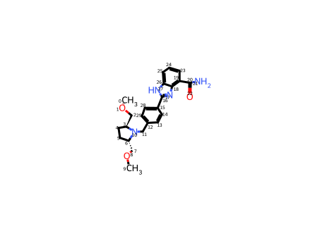 COC[C@@H]1CC[C@@H](COC)N1Cc1ccc(-c2nc3c(C(N)=O)cccc3[nH]2)cc1